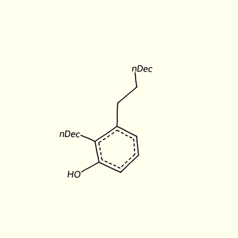 CCCCCCCCCCCCc1cccc(O)c1CCCCCCCCCC